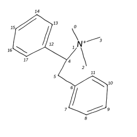 C[N+](C)(C)C(Cc1ccccc1)c1ccccc1